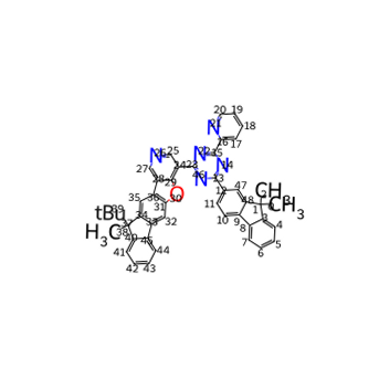 CC1(C)c2ccccc2-c2ccc(-c3nc(-c4ccccn4)nc(-c4cncc5c4oc4cc6c(cc45)C(C)(C(C)(C)C)c4ccccc4-6)n3)cc21